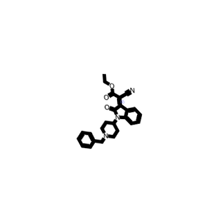 CCOC(=O)/C(C#N)=C1\C(=O)N(C2CCN(Cc3ccccc3)CC2)c2ccccc21